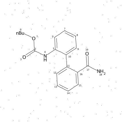 CCCCOC(=O)Nc1ccccc1-c1ccccc1C(N)=O